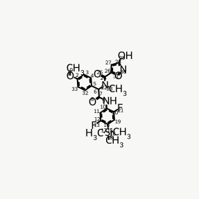 COc1ccc(C(C(=O)Nc2cc(F)c([Si](C)(C)C)cc2F)N(C)C(=O)c2cc(O)no2)cc1